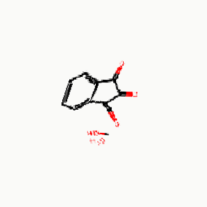 CO.O.O=c1c(=O)c2ccccc2c1=O